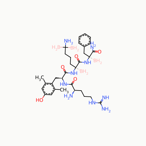 BC(B)(N)CCC[C@](B)(NC(=O)[C@H](Cc1c(C)cc(O)cc1C)NC(=O)[C@H](N)CCCNC(=N)N)C(=O)N[C@@](B)(Cc1ccccc1)C(N)=O